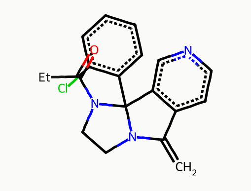 C=C1c2ccncc2C2(c3ccccc3Cl)N1CCN2C(=O)CC